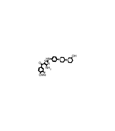 COc1ccc(C(=O)c2sc(Nc3ccc(N4CCC(N5CCCC(O)C5)CC4)cc3)nc2N)cc1F